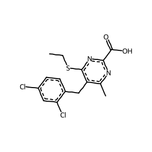 CCSc1nc(C(=O)O)nc(C)c1Cc1ccc(Cl)cc1Cl